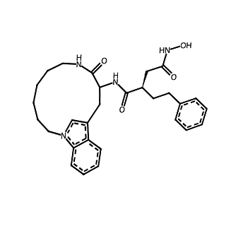 O=C(C[C@@H](CCc1ccccc1)C(=O)NC1Cc2cn(c3ccccc23)CCCCCCNC1=O)NO